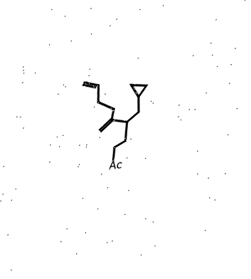 C=CCCC(=C)C(CCC(C)=O)CC1CC1